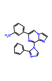 Nc1cccc(-c2cn3ccnc3c(-n3ccnc3-c3ccccc3)n2)c1